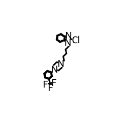 FC(F)(F)c1cccc(N2CCN(CCCCCn3c(Cl)nc4ccccc43)CC2)c1